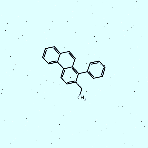 CCc1ccc2c(ccc3ccccc32)c1-c1ccccc1